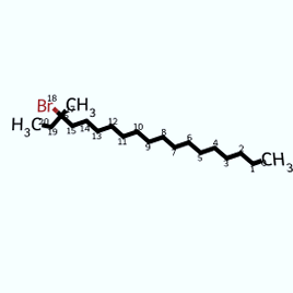 CCCCCCCCCCCCCCCCC(C)(Br)CC